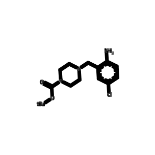 CC(C)(C)OC(=O)N1CCN(Cc2cc(Cl)ccc2N)CC1